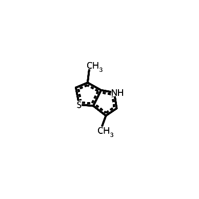 Cc1csc2c(C)c[nH]c12